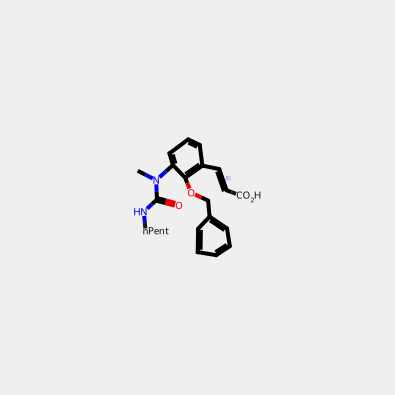 CCCCCNC(=O)N(C)c1cccc(/C=C/C(=O)O)c1OCc1ccccc1